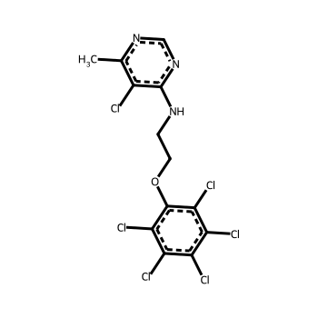 Cc1ncnc(NCCOc2c(Cl)c(Cl)c(Cl)c(Cl)c2Cl)c1Cl